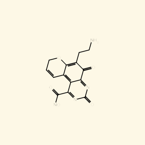 NCCC1=C2OCC=CC2=C2C(C(=O)N=O)=NC(=O)N=C2C1=O